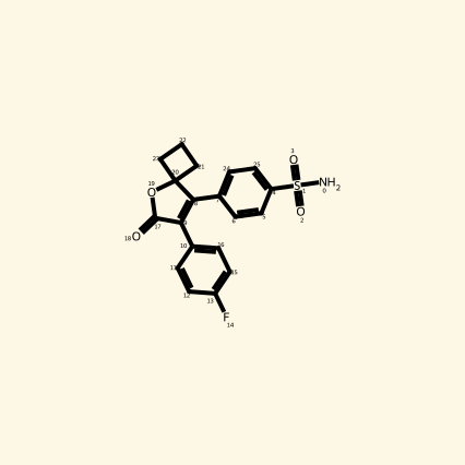 NS(=O)(=O)c1ccc(C2=C(c3ccc(F)cc3)C(=O)OC23CCC3)cc1